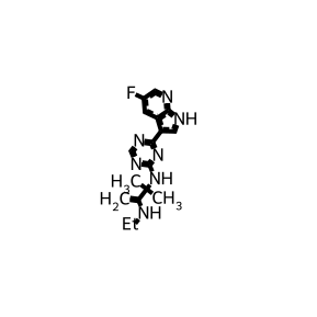 C=C(NCC)C(C)(C)Nc1ncnc(-c2c[nH]c3ncc(F)cc23)n1